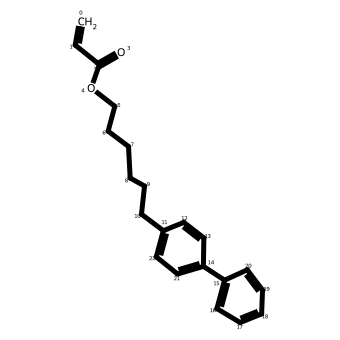 C=CC(=O)OCCCCCCc1ccc(-c2ccccc2)cc1